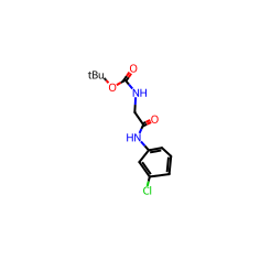 CC(C)(C)OC(=O)NCC(=O)Nc1cccc(Cl)c1